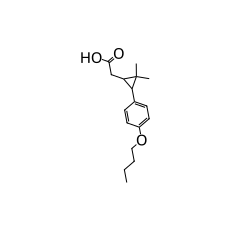 CCCCOc1ccc(C2C(CC(=O)O)C2(C)C)cc1